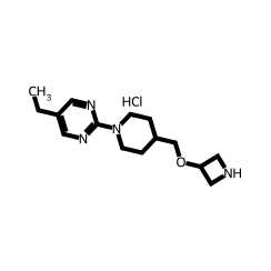 CCc1cnc(N2CCC(COC3CNC3)CC2)nc1.Cl